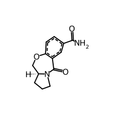 NC(=O)c1ccc2c(c1)C(=O)N1CCC[C@H]1CO2